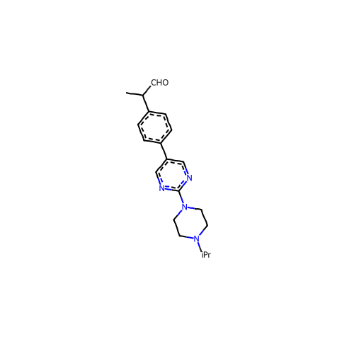 CC(C=O)c1ccc(-c2cnc(N3CCN(C(C)C)CC3)nc2)cc1